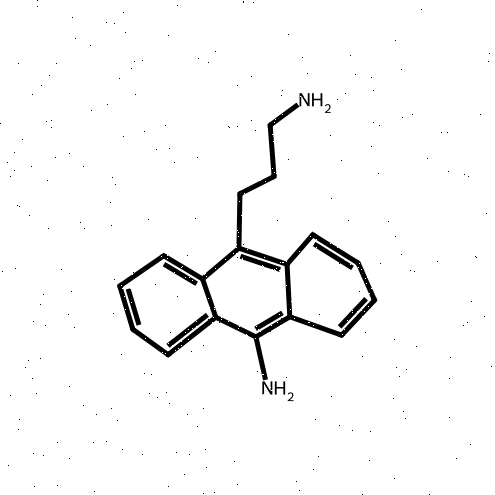 NCCCc1c2ccccc2c(N)c2ccccc12